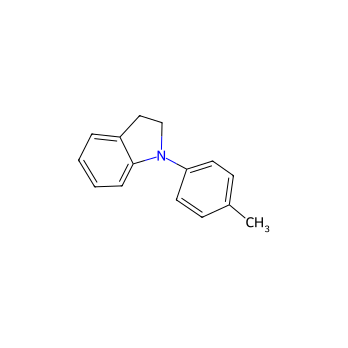 Cc1ccc(N2CCc3ccccc32)cc1